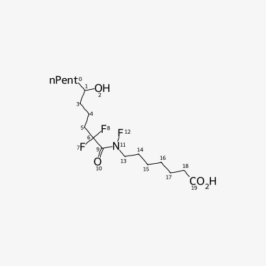 CCCCCC(O)CCCC(F)(F)C(=O)N(F)CCCCCCC(=O)O